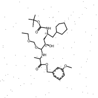 CCOCOC(NC(C)C(=O)OCc1cccc(OC)c1)[C@H](O)C[C@H](CC1CCCCC1)NC(=O)OC(C)(C)C